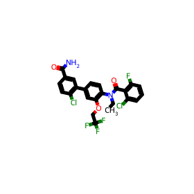 CCN(C(=O)c1c(F)cccc1Cl)c1ccc(-c2cc(C(N)=O)ccc2Cl)cc1OCC(F)(F)F